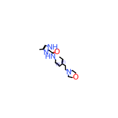 C/C=C(\C=C/CNC(=O)c1nc(C)c[nH]1)CCN1CCOCC1